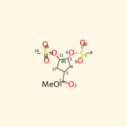 COC(=O)C1CC(OS(C)(=O)=O)[C@H](OS(C)(=O)=O)C1